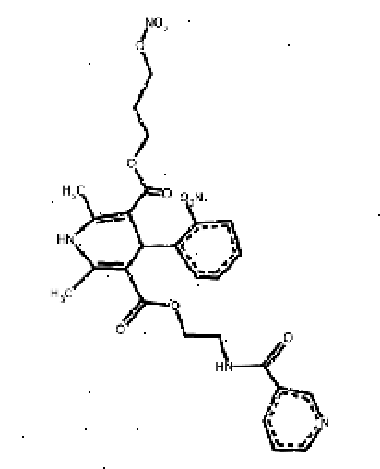 CC1=C(C(=O)OCCCO[N+](=O)[O-])C(c2ccccc2[N+](=O)[O-])C(C(=O)OCCNC(=O)c2cccnc2)=C(C)N1